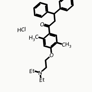 CCN(CC)CCOc1cc(C)c(C(=O)CC(c2ccccc2)c2ccccc2)cc1C.Cl